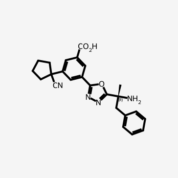 C[C@@](N)(Cc1ccccc1)c1nnc(-c2cc(C(=O)O)cc(C3(C#N)CCCC3)c2)o1